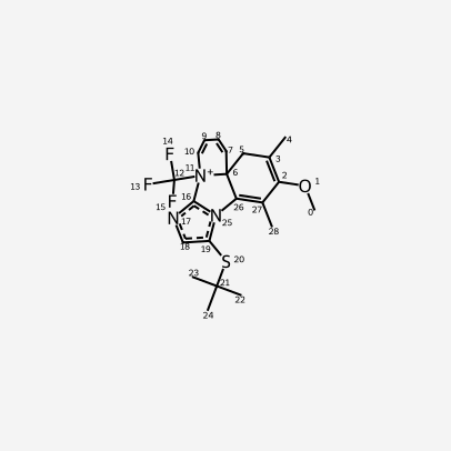 COC1=C(C)CC23C=CC=C[N+]2(C(F)(F)F)c2ncc(SC(C)(C)C)n2C3=C1C